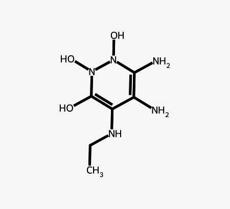 CCNC1=C(O)N(O)N(O)C(N)=C1N